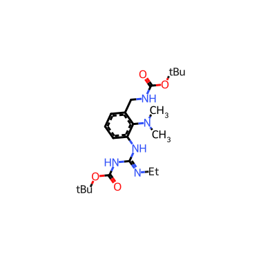 CC/N=C(/NC(=O)OC(C)(C)C)Nc1cccc(CNC(=O)OC(C)(C)C)c1N(C)C